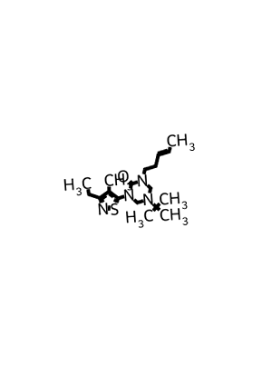 CC=CCCN1CN(C(C)(C)C)CN(c2snc(CC)c2C)C1=O